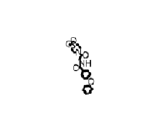 O=C(NCC(=O)N1CCS(=O)(=O)CC1)c1ccc(Oc2ccccc2)cc1